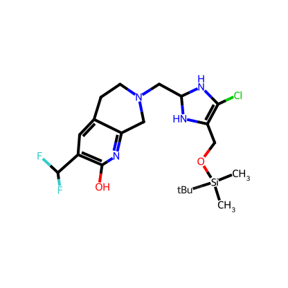 CC(C)(C)[Si](C)(C)OCC1=C(Cl)NC(CN2CCc3cc(C(F)F)c(O)nc3C2)N1